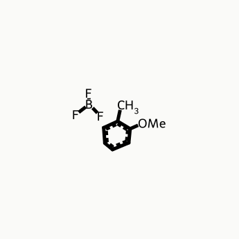 COc1ccccc1C.FB(F)F